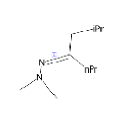 CCC/C(CC(C)C)=N\N(C)C